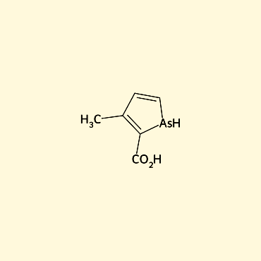 CC1=C(C(=O)O)[AsH]C=C1